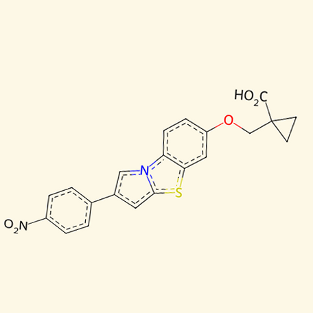 O=C(O)C1(COc2ccc3c(c2)sc2cc(-c4ccc([N+](=O)[O-])cc4)cn23)CC1